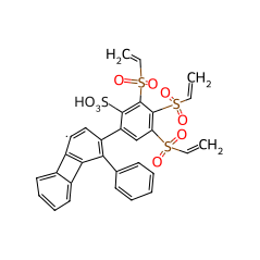 C=CS(=O)(=O)c1cc(-c2c[c]c3c(c2-c2ccccc2)-c2ccccc2-3)c(S(=O)(=O)O)c(S(=O)(=O)C=C)c1S(=O)(=O)C=C